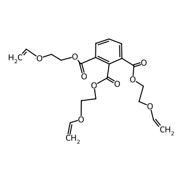 C=COCCOC(=O)c1cccc(C(=O)OCCOC=C)c1C(=O)OCCOC=C